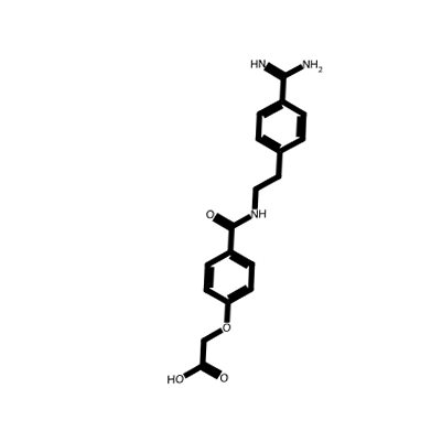 N=C(N)c1ccc(CCNC(=O)c2ccc(OCC(=O)O)cc2)cc1